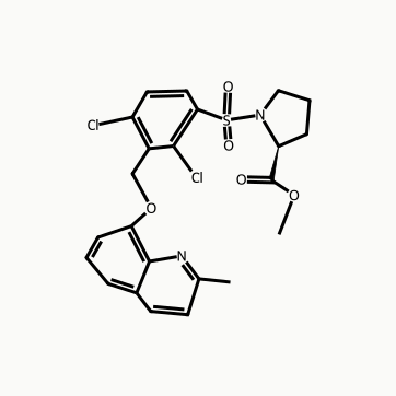 COC(=O)[C@@H]1CCCN1S(=O)(=O)c1ccc(Cl)c(COc2cccc3ccc(C)nc23)c1Cl